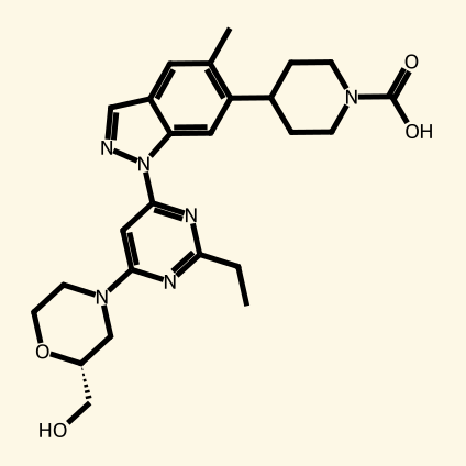 CCc1nc(N2CCO[C@@H](CO)C2)cc(-n2ncc3cc(C)c(C4CCN(C(=O)O)CC4)cc32)n1